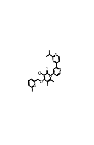 Cc1cccc(COc2c(C)c(C)n(-c3ccnc(-c4ccnc(C(C)C)n4)c3)c(=O)c2Cl)n1